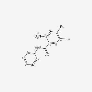 O=C(Nc1cccnc1)c1cc(F)c(F)cc1[N+](=O)[O-]